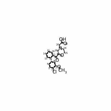 COc1c(Cl)cccc1O[C@H](c1ccccc1)[C@H]1CN(CC(=O)O)CCO1